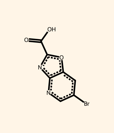 O=C(O)c1nc2ncc(Br)cc2o1